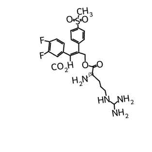 CS(=O)(=O)c1ccc(C(COC(=O)[C@@H](N)CCCNC(N)N)=C(C(=O)O)c2ccc(F)c(F)c2)cc1